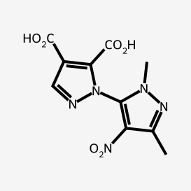 Cc1nn(C)c(-n2ncc(C(=O)O)c2C(=O)O)c1[N+](=O)[O-]